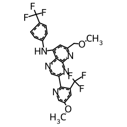 COCc1cc(Nc2ccc(C(F)(F)F)cc2)c2ncc(-c3ncc(OC)cc3C(F)(F)F)nc2n1